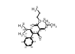 CCCOC(=O)/C(=C\N(C)C)C(=O)/C(=C/N(C)C)c1ccccc1